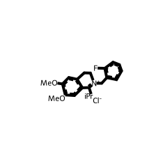 COc1cc2c(cc1OC)C(C(C)C)=[N+](Cc1ccccc1F)CC2.[Cl-]